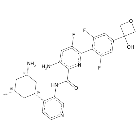 C[C@@H]1C[C@H](N)C[C@H](c2ccncc2NC(=O)c2nc(-c3c(F)cc(C4(O)COC4)cc3F)c(F)cc2N)C1